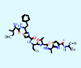 CCC(C)C(C=O)NC(=O)c1csc(C(C)NC(=O)C2N=C(C(CC(C)C)NC(=O)c3csc(C(Cc4ccccc4)NC(=O)C(N)C(C)CC=O)n3)OC2C)n1